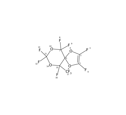 FC1=C(F)OC2(O1)C(F)(F)OC(F)(F)OC2(F)C(F)(F)F